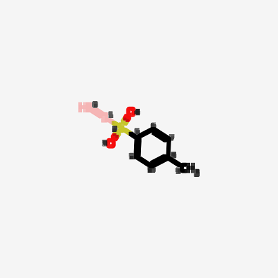 B=BS(=O)(=O)c1ccc(C)cc1